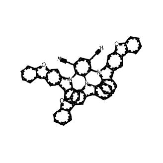 N#Cc1cc(C#N)c(-n2c3ccccc3c3cc4c(cc32)oc2ccccc24)c(-n2c3ccccc3c3cc4c(cc32)oc2ccccc24)c1-n1c2ccccc2c2cc3c(cc21)oc1ccccc13